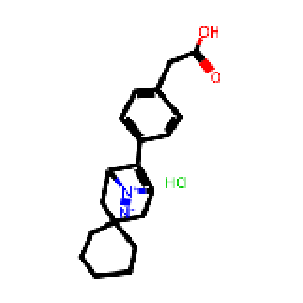 Cl.[N-]=[N+]1C2=C(c3ccc(CC(=O)O)cc3)C1CC1(CCCCC1)C2